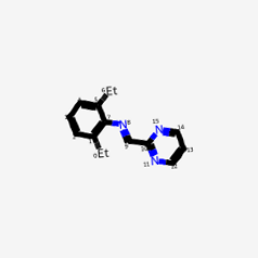 CCc1cccc(CC)c1N=Cc1ncccn1